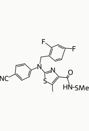 CSNC(=O)c1nc(N(Cc2ccc(F)cc2F)c2ccc(C#N)cc2)sc1C